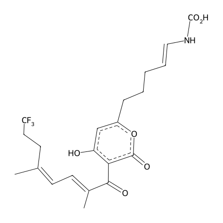 CC(=CC=C(C)C(=O)c1c(O)cc(CCCC=CNC(=O)O)oc1=O)CCC(F)(F)F